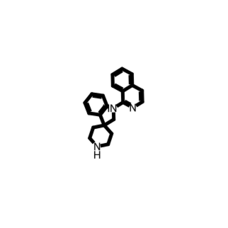 c1ccc(C2(CNc3nccc4ccccc34)CCNCC2)cc1